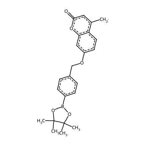 [CH2]c1cc(=O)oc2cc(OCc3ccc(B4OC(C)(C)C(C)(C)O4)cc3)ccc12